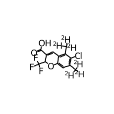 [2H]C([2H])([2H])c1cc2c(c(C([2H])([2H])[2H])c1Cl)C=C(C(=O)O)C(C(F)(F)F)O2